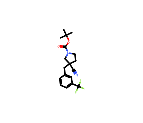 CC(C)(C)OC(=O)N1CCC(C#N)(Cc2cccc(C(F)(F)F)c2)C1